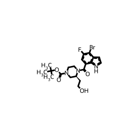 CC(C)(C)OC(=O)N1CCN(C(=O)c2cc(F)c(Br)c3cc[nH]c23)[C@@H](CCO)C1